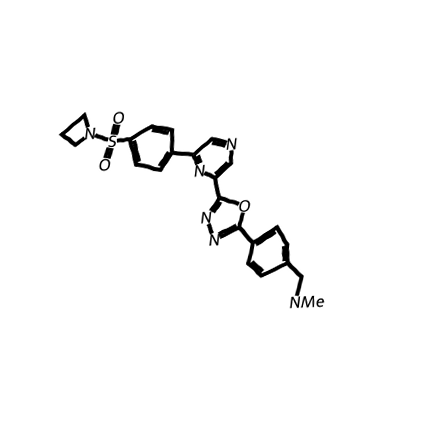 CNCc1ccc(-c2nnc(-c3cncc(-c4ccc(S(=O)(=O)N5CCC5)cc4)n3)o2)cc1